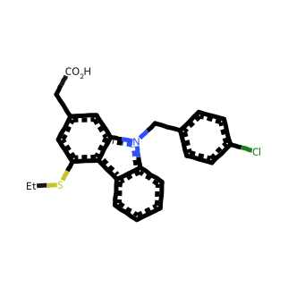 CCSc1cc(CC(=O)O)cc2c1c1ccccc1n2Cc1ccc(Cl)cc1